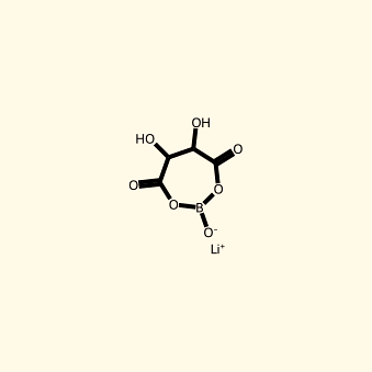 O=C1OB([O-])OC(=O)C(O)C1O.[Li+]